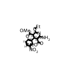 CCOC1=NC(N)=C(C(=O)OC)C(c2cccc([N+](=O)[O-])c2)C1C(=O)OC